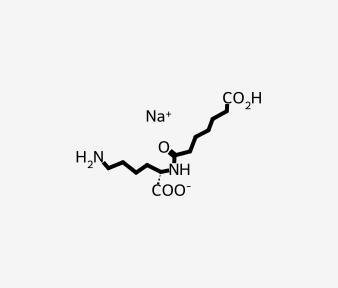 NCCCC[C@H](NC(=O)CCCCCC(=O)O)C(=O)[O-].[Na+]